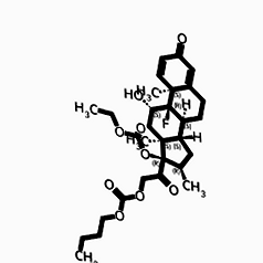 CCCCOC(=O)OCC(=O)[C@@]1(OC(=O)OCC)[C@H](C)C[C@H]2[C@@H]3CCC4=CC(=O)C=C[C@]4(C)[C@@]3(F)[C@@H](O)C[C@@]21C